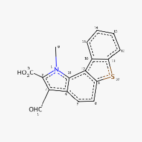 Cn1c(C(=O)O)c(C=O)c2ccc3sc4ccccc4c3c21